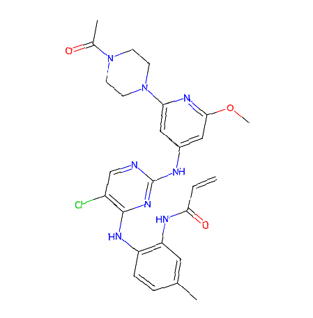 C=CC(=O)Nc1cc(C)ccc1Nc1nc(Nc2cc(OC)nc(N3CCN(C(C)=O)CC3)c2)ncc1Cl